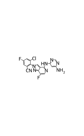 N#Cc1cc(F)cc(Cl)c1-n1cc2c(Nc3cc(N)ncn3)ncc(F)c2n1